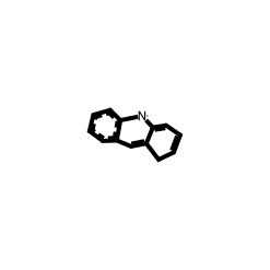 C1=CCC2=Cc3ccccc3[N]C2=C1